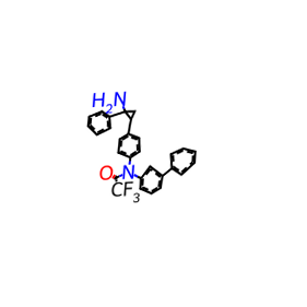 NC1(c2ccccc2)CC1c1ccc(N(C(=O)C(F)(F)F)c2cccc(-c3ccccc3)c2)cc1